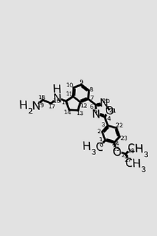 Cc1cc(-c2nc(-c3cccc4c3CCC4NCCN)no2)ccc1OC(C)C